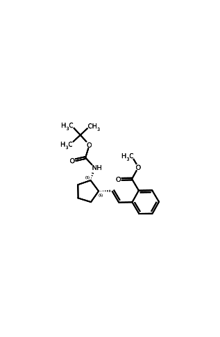 COC(=O)c1ccccc1C=C[C@@H]1CCC[C@@H]1NC(=O)OC(C)(C)C